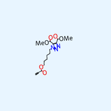 C#CC(=O)OCCCCCCn1nnc(C(=O)OC)c1C(=O)OC